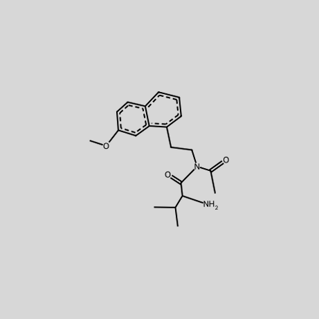 COc1ccc2cccc(CCN(C(C)=O)C(=O)C(N)C(C)C)c2c1